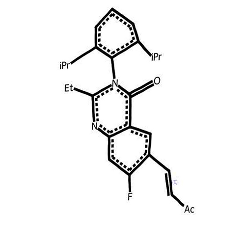 CCc1nc2cc(F)c(/C=C/C(C)=O)cc2c(=O)n1-c1c(C(C)C)cccc1C(C)C